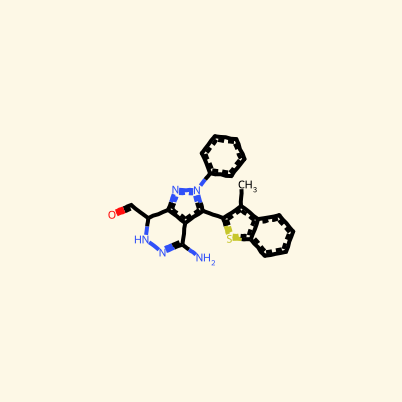 Cc1c(-c2c3c(nn2-c2ccccc2)C(C=O)NN=C3N)sc2ccccc12